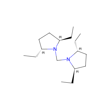 CC[C@@H]1CC[C@@H](CC)N1CN1[C@H](CC)CC[C@H]1CC